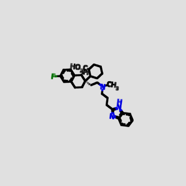 CC(C)[C@@H]1c2ccc(F)cc2CC[C@]1(CCN(C)CCCc1nc2ccccc2[nH]1)C1CCCCC1C(=O)O